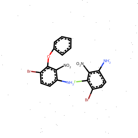 Nc1ccc(Br)c(F)c1[N+](=O)[O-].Nc1ccc(Br)c(Oc2ccccc2)c1[N+](=O)[O-]